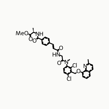 COC(=O)[C@@H](C)NC(=O)c1ccc(/C=C/C(=O)NCC(=O)N(C)c2ccc(Cl)c(COc3cccc4ccc(C)nc34)c2Cl)cc1